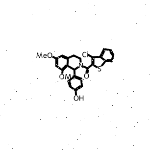 COc1cc2c(c(OC)c1)C(c1ccc(O)cc1)N(C(=O)c1sc3ccccc3c1Cl)CC2